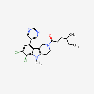 CC[C@H](C)CCC(=O)N1CCc2c(c3c(-c4cncnc4)cc(Cl)c(Cl)c3n2C)C1